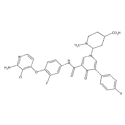 CN1CCC(C(=O)O)CC1n1cc(C(=O)Nc2ccc(Oc3ccnc(N)c3Cl)c(F)c2)c(=O)c(-c2ccc(F)cc2)c1